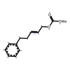 COC(=O)OC/C=C/CCc1ccccc1